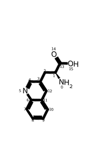 N[C@@H](Cc1cnc2ccccc2c1)C(=O)O